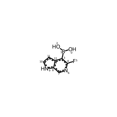 OB(O)c1c(F)ncc2[nH]ccc12